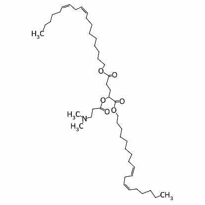 CCCCC/C=C\C/C=C\CCCCCCCCOC(=O)CCC(OC(=O)CCN(C)C)C(=O)OCCCCCCCC/C=C\C/C=C\CCCCC